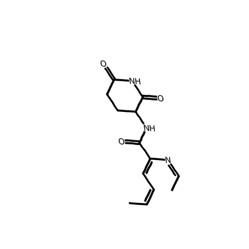 C\C=C/C=C(\N=C/C)C(=O)NC1CCC(=O)NC1=O